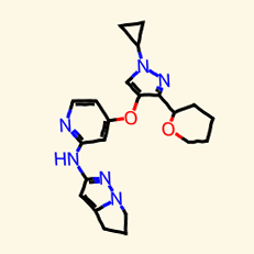 c1cc(Oc2cn(C3CC3)nc2C2CCCCO2)cc(Nc2cc3n(n2)CCC3)n1